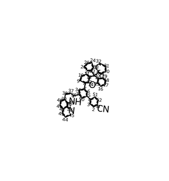 N#Cc1ccc(-c2cc(-c3cccc4c3Oc3ccccc3C4(c3ccccc3)c3ccccc3)cc(C3C=Cc4ccc5cccnc5c4N3)c2)cc1